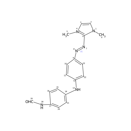 Cn1cc[n+](C)c1/N=N/c1ccc(Nc2ccc(NC=O)cc2)cc1